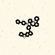 C1=Cc2cccc3c4ccccc4n(c23)-c2cccc(N(c3ccc(-c4ccccc4)cc3)c3ccc(-c4cccc5cc6oc7ccccc7c6cc45)cc3)c21